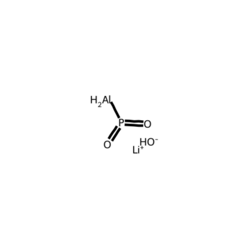 O=[P](=O)[AlH2].[Li+].[OH-]